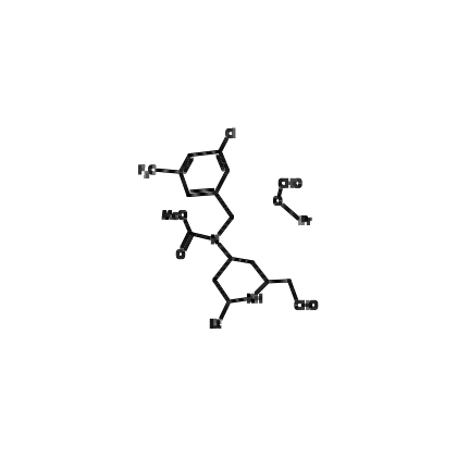 CC(C)OC=O.CCC1CC(N(Cc2cc(Cl)cc(C(F)(F)F)c2)C(=O)OC)CC(CC=O)N1